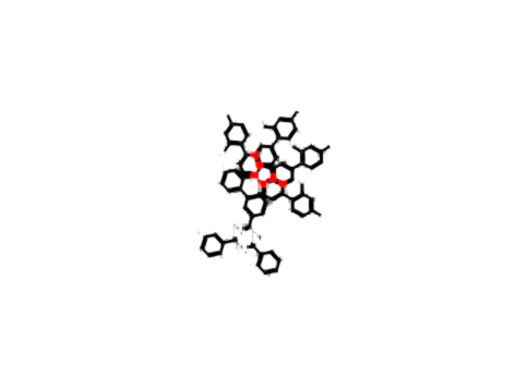 Cc1ccc(-c2ccc3c(c2)c2cc(-c4ccc(C)cc4C)ccc2n3-c2ccccc2-c2cc(-c3nc(-c4ccccc4)nc(-c4ccccc4)n3)ccc2-n2c3ccc(-c4ccc(C)cc4C)cc3c3cc(-c4ccc(C)cc4C)ccc32)c(C)c1